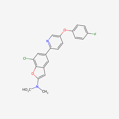 CN(C(=O)O)c1cc2cc(-c3ccc(Oc4ccc(F)cc4)cn3)cc(Cl)c2o1